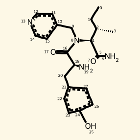 CC[C@H](C)[C@@H](C(N)=O)N(Cc1ccncc1)C(=O)[C@@H](N)Cc1ccc(O)cc1